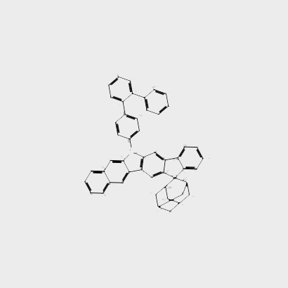 c1ccc(-c2ccccc2-c2ccc(-n3c4cc5c(cc4c4cc6ccccc6cc43)C3(c4ccccc4-5)C4CC5CC(C4)CC3C5)cc2)cc1